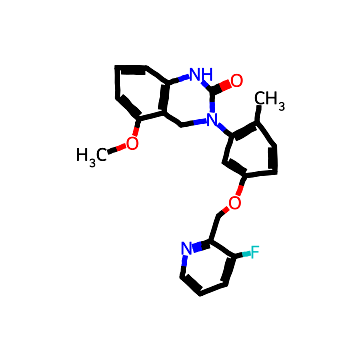 COc1cccc2c1CN(c1cc(OCc3ncccc3F)ccc1C)C(=O)N2